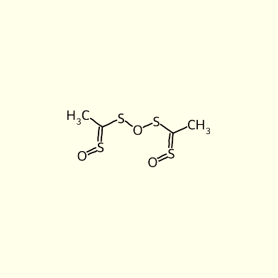 CC(SOSC(C)=S=O)=S=O